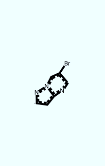 Brc1cnc2c[c]nn2c1